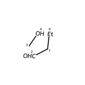 CCCC=O.CO